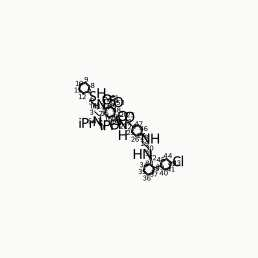 CC(C)N(CC[C@H](CSc1ccccc1)Nc1ccc(S(=O)(=O)NC(=O)c2ccc(NCCNCc3ccccc3-c3ccc(Cl)cc3)cc2)cc1S(C)(=O)=O)C(C)C